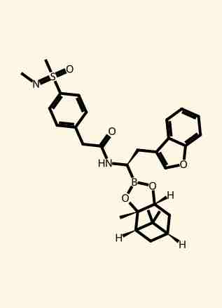 CN=S(C)(=O)c1ccc(CC(=O)N[C@@H](Cc2coc3ccccc23)B2O[C@@H]3C[C@@H]4C[C@@H](C4(C)C)[C@]3(C)O2)cc1